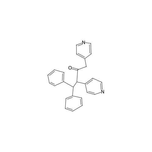 O=C(Cc1ccncc1)C(c1ccncc1)C(c1ccccc1)c1ccccc1